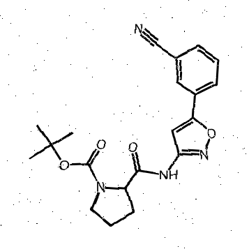 CC(C)(C)OC(=O)N1CCCC1C(=O)Nc1cc(-c2cccc(C#N)c2)on1